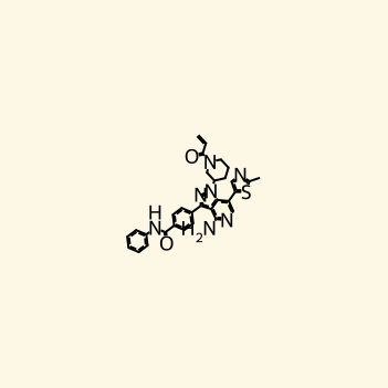 C=CC(=O)N1CCCC(n2nc(-c3ccc(C(=O)Nc4ccccc4)cc3)c3c(N)ncc(-c4cnc(C)s4)c32)C1